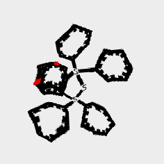 c1ccc(S(SS(c2ccccc2)(c2ccccc2)c2ccccc2)(c2ccccc2)c2ccccc2)cc1